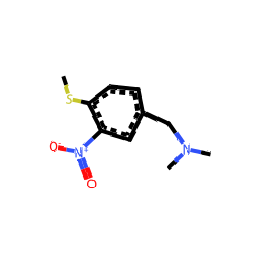 CSc1ccc(CN(C)C)cc1[N+](=O)[O-]